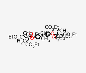 C=C(CC(CC(=C)C(=O)OCC)(C(=O)OCC)C(=O)Oc1ccc(C(C)(C)c2ccc(OC(=O)C(CC(=C)C(=O)OCC)(CC(=C)C(=O)OCC)C(=O)OCC)cc2)cc1)C(=O)OCC